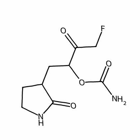 NC(=O)OC(CC1CCNC1=O)C(=O)CF